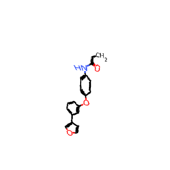 C=CC(=O)Nc1ccc(Oc2cccc(-c3ccoc3)c2)cc1